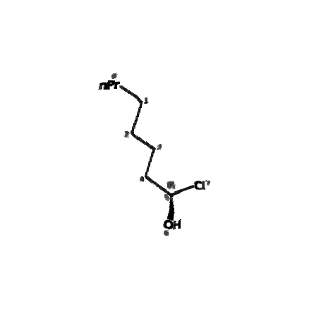 CCCCCCC[C@H](O)Cl